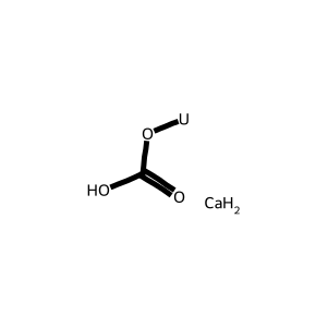 O=C(O)[O][U].[CaH2]